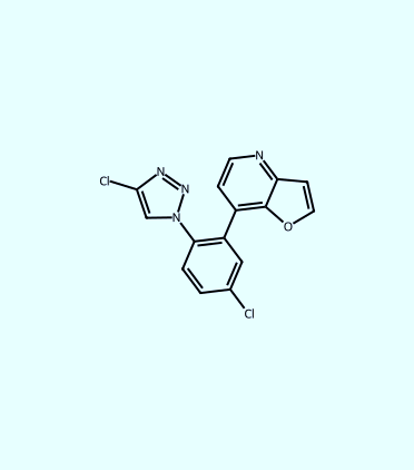 Clc1ccc(-n2cc(Cl)nn2)c(-c2ccnc3ccoc23)c1